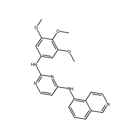 COc1cc(Nc2nccc(Nc3cccc4cnccc34)n2)cc(OC)c1OC